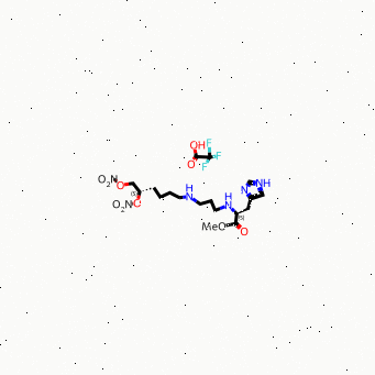 COC(=O)[C@H](Cc1c[nH]cn1)NCCCNCCCC[C@@H](CO[N+](=O)[O-])O[N+](=O)[O-].O=C(O)C(F)(F)F